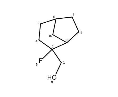 OCC1(F)CCC2CCC1C2